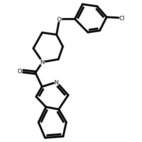 O=C(c1cc2ccccc2cn1)N1CCC(Oc2ccc(Cl)cc2)CC1